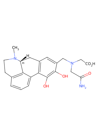 CN1CCc2cccc3c2[C@H]1Cc1cc(CN(CC(N)=O)CC(=O)O)c(O)c(O)c1-3